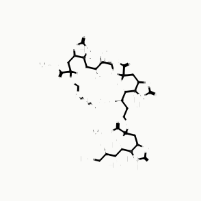 COC(=O)C1(OC[C@@H](C)[C@@H](OC(C)=O)[C@@H]2OC(OC[C@@H](OC(C)=O)[C@@H](OC(C)=O)[C@@H]3OC(OCN=[N+]=[N-])(C(=O)OC)CC4OC(=O)N[C@H]43)(C(=O)OC)CC3OC(=O)N[C@H]32)CC2OC(=O)N[C@H]2[C@H]([C@H](O)[C@H](O)CO)O1